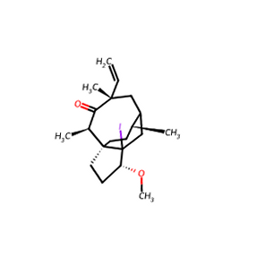 C=C[C@]1(C)CC2CC3(I)[C@H](OC)CC[C@@]3(CC[C@H]2C)[C@@H](C)C1=O